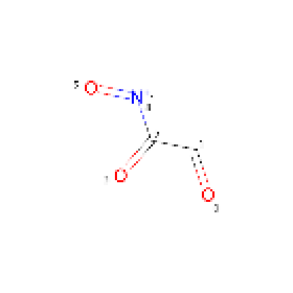 O=CC(=O)[N+]=O